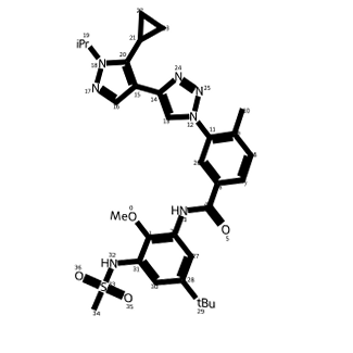 COc1c(NC(=O)c2ccc(C)c(-n3cc(-c4cnn(C(C)C)c4C4CC4)nn3)c2)cc(C(C)(C)C)cc1NS(C)(=O)=O